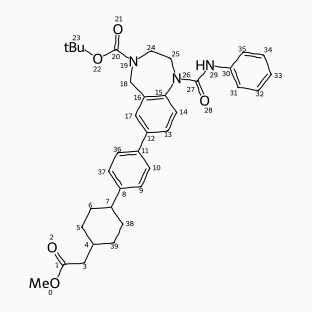 COC(=O)CC1CCC(c2ccc(-c3ccc4c(c3)CN(C(=O)OC(C)(C)C)CCN4C(=O)Nc3ccccc3)cc2)CC1